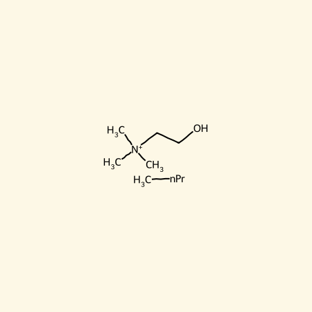 CCCC.C[N+](C)(C)CCO